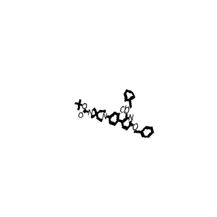 CC(C)(C)OC(=O)N1CC2(CCN(c3ccc(-c4ccc(OCc5ccccc5)nc4OCc4ccccc4)c(Cl)c3)CC2)C1